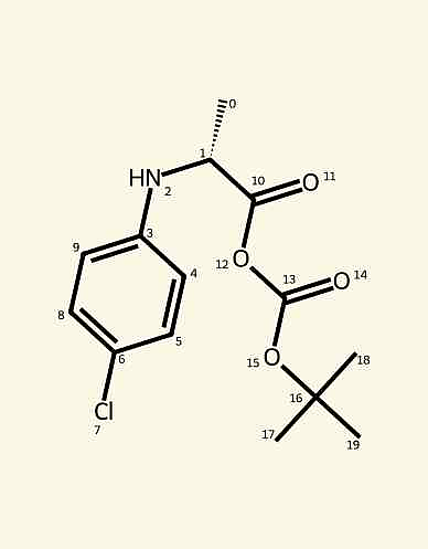 C[C@@H](Nc1ccc(Cl)cc1)C(=O)OC(=O)OC(C)(C)C